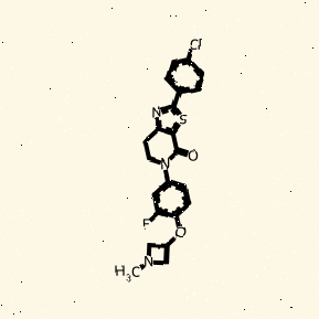 CN1CC(Oc2ccc(N3CCc4nc(-c5ccc(Cl)cc5)sc4C3=O)cc2F)C1